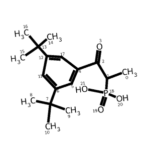 CC(C(=O)c1cc(C(C)(C)C)cc(C(C)(C)C)c1)P(=O)(O)O